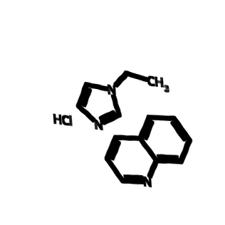 CCn1ccnc1.Cl.c1ccc2ncccc2c1